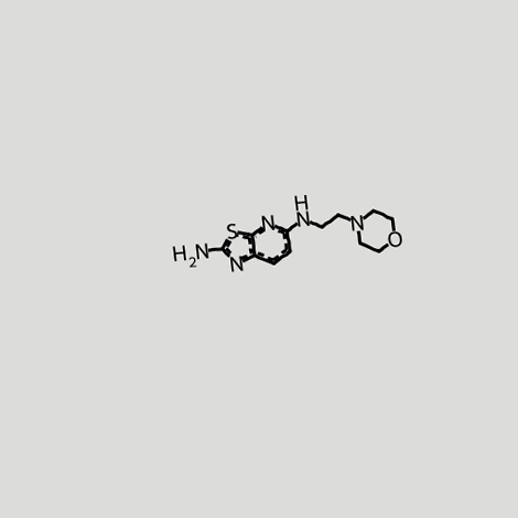 Nc1nc2ccc(NCCN3CCOCC3)nc2s1